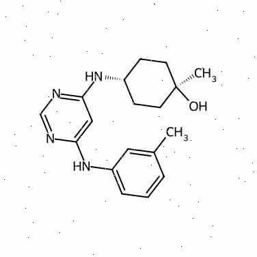 Cc1cccc(Nc2cc(N[C@H]3CC[C@](C)(O)CC3)ncn2)c1